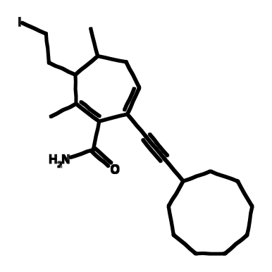 CC1=C(C(N)=O)C(C#CC2CCCCCCCC2)=CCC(C)C1CCI